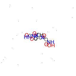 Cn1c(=O)n(C2CCC(=O)NC2=O)c2cccc(C3CCN(C(=O)C4CCC(NC(=O)O)CC4)CC3)c21